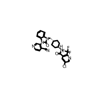 N#Cc1ccncc1-n1c(=O)n(C[C@H]2CC[C@H](NC(=O)c3cc(Cl)cnc3C(F)(F)F)CC2)c2ccccc21